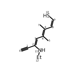 C#C/C(=C/C(C)=C(C)/C=C\S)NCC